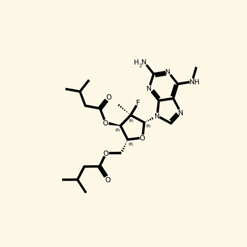 CNc1nc(N)nc2c1ncn2[C@@H]1O[C@H](COC(=O)CC(C)C)[C@@H](OC(=O)CC(C)C)[C@@]1(C)F